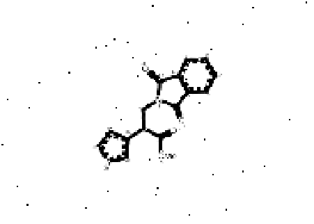 COC(=O)C(CN1C(=O)c2ccccc2C1=O)c1ccsc1